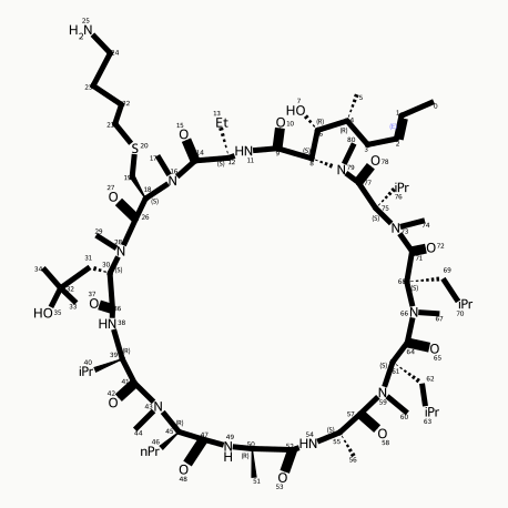 C/C=C/C[C@@H](C)[C@@H](O)[C@H]1C(=O)N[C@@H](CC)C(=O)N(C)[C@H](CSCCCCN)C(=O)N(C)[C@@H](CC(C)(C)O)C(=O)N[C@H](C(C)C)C(=O)N(C)[C@H](CCC)C(=O)N[C@H](C)C(=O)N[C@@H](C)C(=O)N(C)[C@@H](CC(C)C)C(=O)N(C)[C@@H](CC(C)C)C(=O)N(C)[C@@H](C(C)C)C(=O)N1C